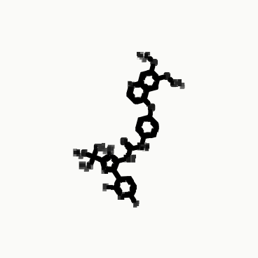 COc1cc2nccc(Oc3ccc(NC(=O)Nc4[nH]c(C(C)(C)C)nc4-c4ccc(F)nc4F)cc3)c2cc1OC